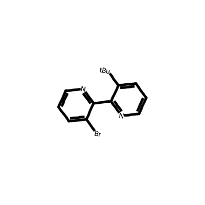 CC(C)(C)c1cccnc1-c1ncccc1Br